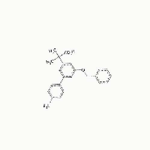 CC(C)(C(=O)O)c1cc(OCc2ccccc2)cc(-c2ccc(C(F)(F)F)cc2)c1